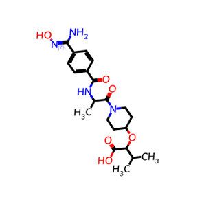 CC(NC(=O)c1ccc(/C(N)=N/O)cc1)C(=O)N1CCC(OC(C(=O)O)C(C)C)CC1